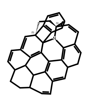 C1=CC2CCC3C=CC4=C[C@]56CC[C@@]78C=CC9=CCC%10C=C1C1=C%11C%10=C9N7C5(C%11=C4C3C12)c1cc8ccc16